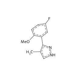 COc1ccc(F)cc1-c1n[nH]cc1C